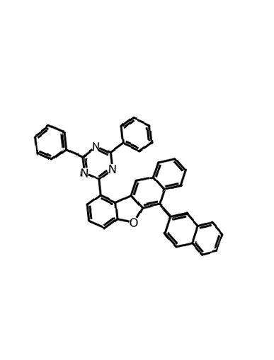 c1ccc(-c2nc(-c3ccccc3)nc(-c3cccc4oc5c(-c6ccc7ccccc7c6)c6ccccc6cc5c34)n2)cc1